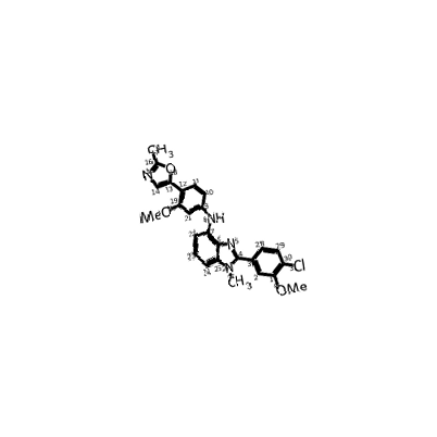 COc1cc(-c2nc3c(Nc4ccc(-c5cnc(C)o5)c(OC)c4)cccc3n2C)ccc1Cl